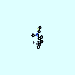 CC1(C)c2cc3ccccc3cc2-c2cccc(-c3ccc(-c4cc(-c5ccc6c(c5)sc5ccccc56)nc(-c5ccccc5)n4)c4ccccc34)c21